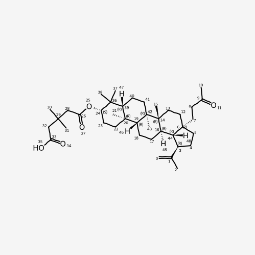 C=C(C)[C@@H]1CC[C@]2(CCC(C)=O)CC[C@]3(C)[C@H](CC[C@@H]4[C@@]5(C)CC[C@H](OC(=O)CC(C)(C)CC(=O)O)C(C)(C)[C@@H]5CC[C@]43C)[C@@H]12